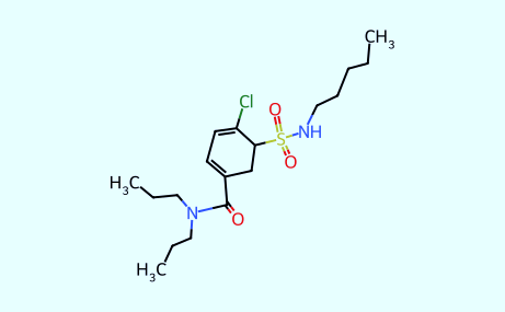 CCCCCNS(=O)(=O)C1CC(C(=O)N(CCC)CCC)=CC=C1Cl